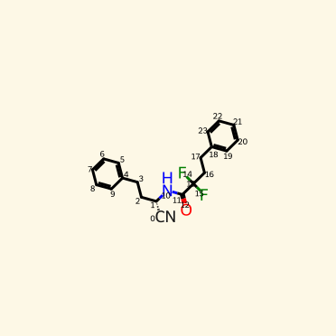 N#C[C@H](CCc1ccccc1)NC(=O)C(F)(F)CCc1ccccc1